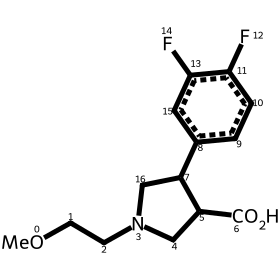 COCCN1CC(C(=O)O)C(c2ccc(F)c(F)c2)C1